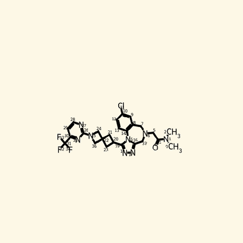 CN(C)C(=O)CN1Cc2cc(Cl)ccc2-n2c(nnc2C2CC3(C2)CN(c2nccc(C(F)(F)F)n2)C3)C1